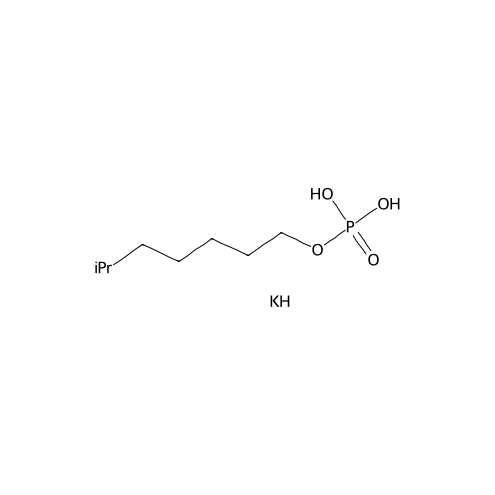 CC(C)CCCCCOP(=O)(O)O.[KH]